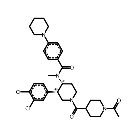 CC(=O)N1CCC(C(=O)N2CC[C@@H](N(C)C(=O)c3ccc(N4CCCCC4)cc3)[C@H](c3ccc(Cl)c(Cl)c3)C2)CC1